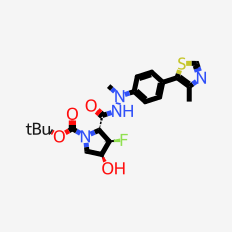 Cc1ncsc1-c1ccc(N(C)NC(=O)[C@@H]2[C@@H](F)[C@@H](O)CN2C(=O)OC(C)(C)C)cc1